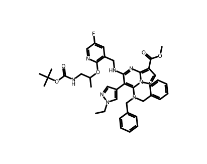 CCn1cc(-c2c(NCc3cc(F)cnc3OC(C)CNC(=O)OC(C)(C)C)nc3c(C(=O)OC)cnn3c2N(Cc2ccccc2)Cc2ccccc2)cn1